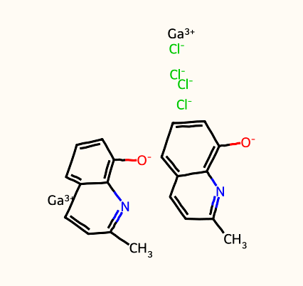 Cc1ccc2cccc([O-])c2n1.Cc1ccc2cccc([O-])c2n1.[Cl-].[Cl-].[Cl-].[Cl-].[Ga+3].[Ga+3]